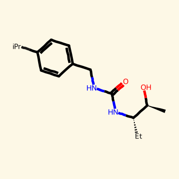 CC[C@H](NC(=O)NCc1ccc(C(C)C)cc1)[C@H](C)O